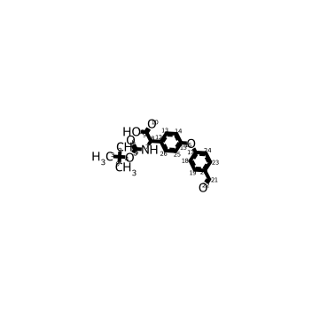 CC(C)(C)OC(=O)NC(C(=O)O)c1ccc(Oc2ccc(C=O)cc2)cc1